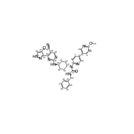 COc1ncc(-c2ccc(N(C(=O)NCc3ccccc3)[C@H]3CC[C@H](Nc4ncc(C#N)c(-c5n[nH]cc5Cl)n4)CC3)nc2)cn1